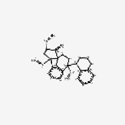 N=NC1CC(N=N)(c2ccccc2)C2(CCC(N=N)(C3CCCc4ccccc43)CC2)C1=O